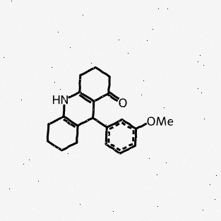 COc1cccc(C2C3=C(CCCC3)NC3=C2C(=O)CCC3)c1